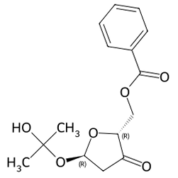 CC(C)(O)O[C@@H]1CC(=O)[C@@H](COC(=O)c2ccccc2)O1